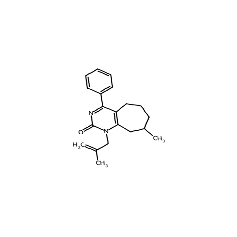 C=C(C)Cn1c2c(c(-c3ccccc3)nc1=O)CCCC(C)C2